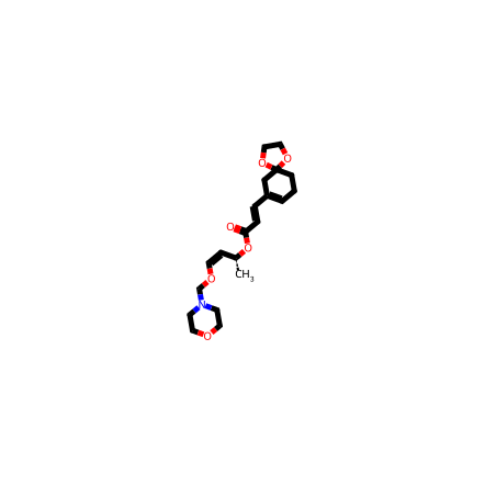 C[C@H](/C=C\OCN1CCOCC1)OC(=O)/C=C/C1=CCCC2(C1)OCCO2